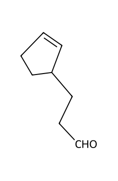 O=CCCC1C=CCC1